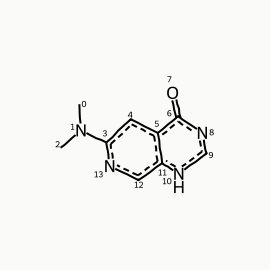 CN(C)c1cc2c(=O)nc[nH]c2cn1